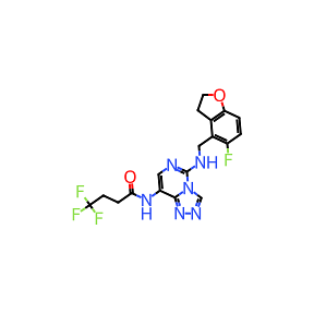 O=C(CCC(F)(F)F)Nc1cnc(NCc2c(F)ccc3c2CCO3)n2cnnc12